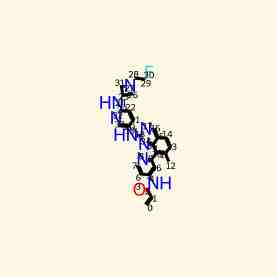 C=CC(=O)Nc1ccnc(-c2c(C)ccc3cnc(Nc4ccc(NC5CN(CCF)C5)nc4)nc23)c1